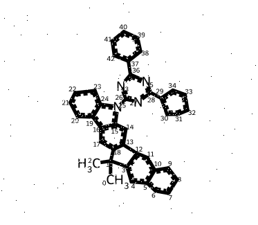 CC1(C)c2cc3ccccc3cc2-c2cc3c(cc21)c1ccccc1n3-c1nc(-c2ccccc2)nc(-c2ccccc2)n1